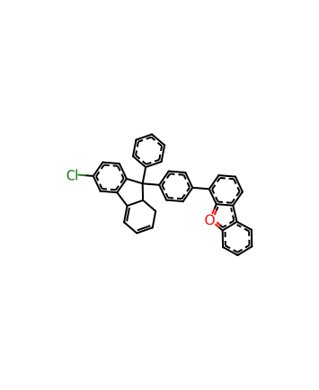 Clc1ccc2c(c1)C1=CC=CCC1C2(c1ccccc1)c1ccc(-c2cccc3c2oc2ccccc23)cc1